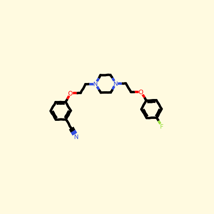 N#Cc1cccc(OCCN2CCN(CCOc3ccc(F)cc3)CC2)c1